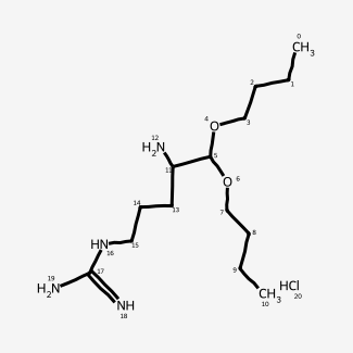 CCCCOC(OCCCC)C(N)CCCNC(=N)N.Cl